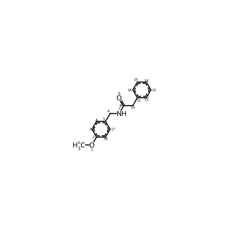 COc1ccc(CNC(=O)Cc2[c]cccc2)cc1